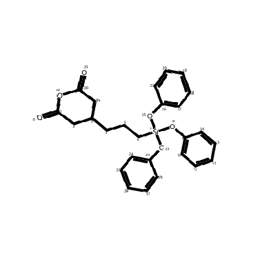 O=C1CC(CCC[Si](Oc2ccccc2)(Oc2ccccc2)Oc2ccccc2)CC(=O)O1